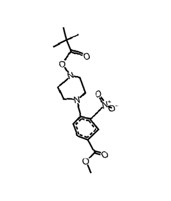 COC(=O)c1ccc(N2CCN(OC(=O)C(C)(C)C)CC2)c([N+](=O)[O-])c1